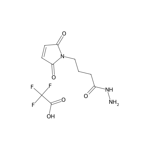 NNC(=O)CCCN1C(=O)C=CC1=O.O=C(O)C(F)(F)F